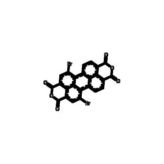 O=C1OC(=O)c2ccc3c4c(Br)cc5c6c(cc(Br)c(c7ccc1c2c73)c64)C(=O)OC5=O